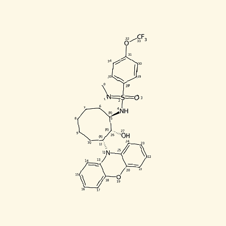 CN=S(=O)(N[C@@H]1CCCCC[C@@H](N2c3ccccc3Oc3ccccc32)[C@H]1O)c1ccc(OC(F)(F)F)cc1